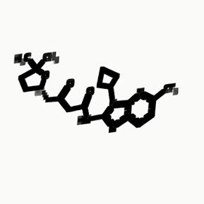 CC1(C)CC[C@@H](CC(=O)CC(=O)Nc2nc3ccc(C(F)(F)F)nc3n2C2CCC2)O1